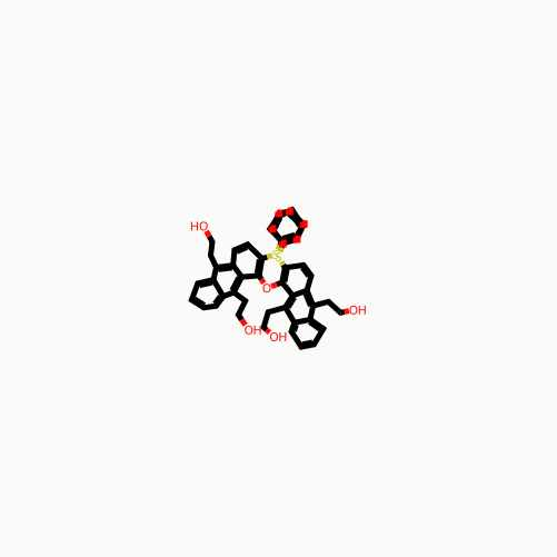 OCCc1c2ccccc2c(CCO)c2c(Oc3c(Sc4ccccc4)ccc4c(CCO)c5ccccc5c(CCO)c34)c(Sc3ccccc3)ccc12